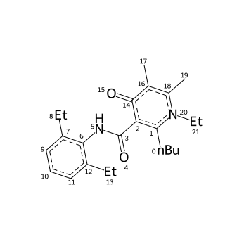 CCCCc1c(C(=O)Nc2c(CC)cccc2CC)c(=O)c(C)c(C)n1CC